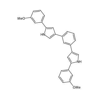 COc1cccc(-c2cc(-c3cccc(-c4c[nH]c(-c5cccc(OC)c5)c4)c3)c[nH]2)c1